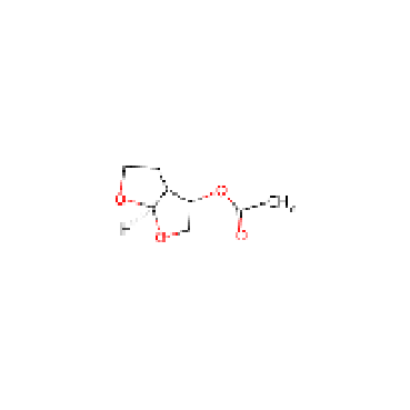 CC(=O)OC1CO[C@H]2OCCC12